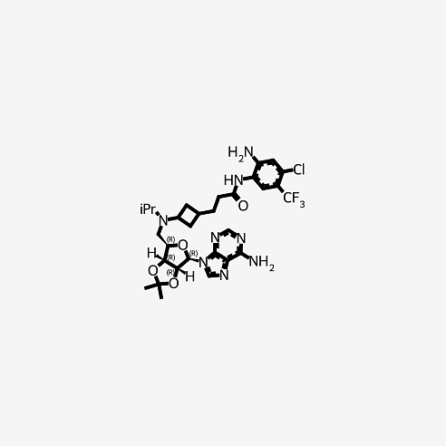 CC(C)N(C[C@H]1O[C@@H](n2cnc3c(N)ncnc32)[C@@H]2OC(C)(C)O[C@@H]21)C1CC(CCC(=O)Nc2cc(C(F)(F)F)c(Cl)cc2N)C1